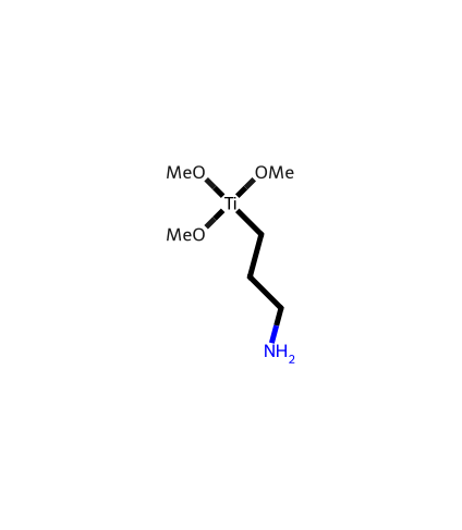 C[O][Ti]([CH2]CCN)([O]C)[O]C